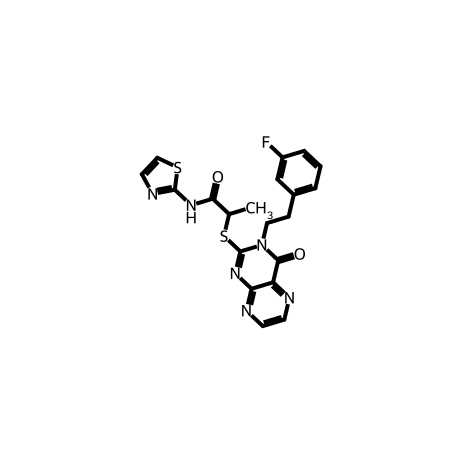 CC(Sc1nc2nccnc2c(=O)n1CCc1cccc(F)c1)C(=O)Nc1nccs1